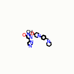 Cn1c(OC2CCN(c3ccc(CN4CCCCC4)cc3)CC2)nc(-c2ccncn2)cc1=O